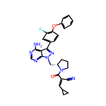 N#CC(=CC1CC1)C(=O)N1CCC[C@H]1Cn1nc(-c2ccc(Oc3ccccc3)c(F)c2)c2c(N)ncnc21